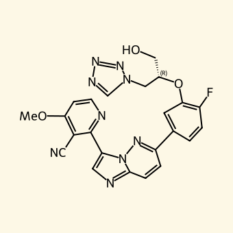 COc1ccnc(-c2cnc3ccc(-c4ccc(F)c(O[C@@H](CO)Cn5cnnn5)c4)nn23)c1C#N